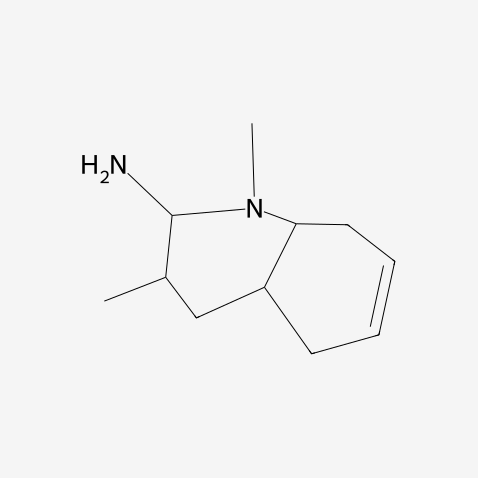 CC1CC2CC=CCC2N(C)C1N